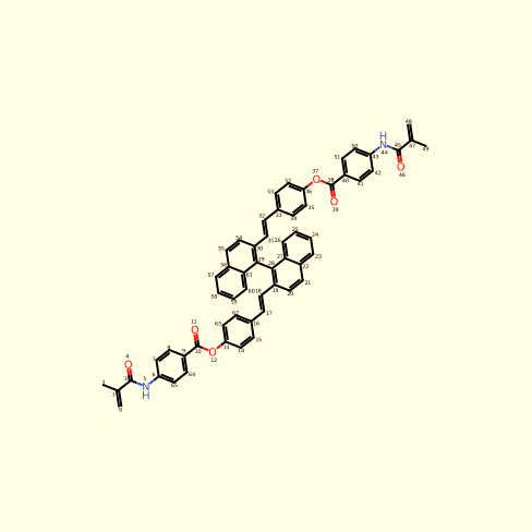 C=C(C)C(=O)Nc1ccc(C(=O)Oc2ccc(/C=C/c3ccc4ccccc4c3-c3c(/C=C/c4ccc(OC(=O)c5ccc(NC(=O)C(=C)C)cc5)cc4)ccc4ccccc34)cc2)cc1